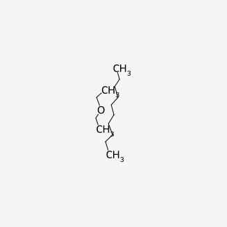 CCCCCCCCCC.CCOCC